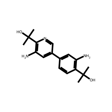 CC(C)(O)c1ccc(-c2cnc(C(C)(C)O)c(N)c2)cc1N